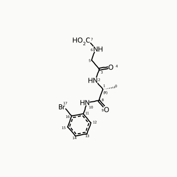 C[C@@H](NC(=O)CNC(=O)O)C(=O)Nc1ccccc1Br